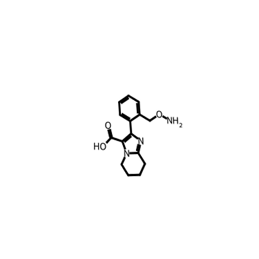 NOCc1ccccc1-c1nc2n(c1C(=O)O)CCCC2